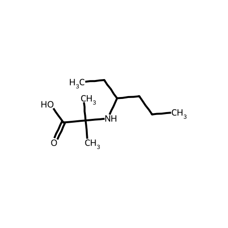 CCCC(CC)NC(C)(C)C(=O)O